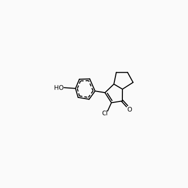 O=C1C(Cl)=C(c2ccc(O)cc2)C2CCCC12